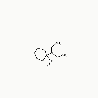 CCN(CC)C1(PCl)CCCCC1